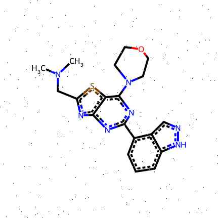 CN(C)Cc1nc2nc(-c3cccc4[nH]ncc34)nc(N3CCOCC3)c2s1